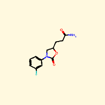 NC(=O)CCC1CN(c2cc[c]c(F)c2)C(=O)O1